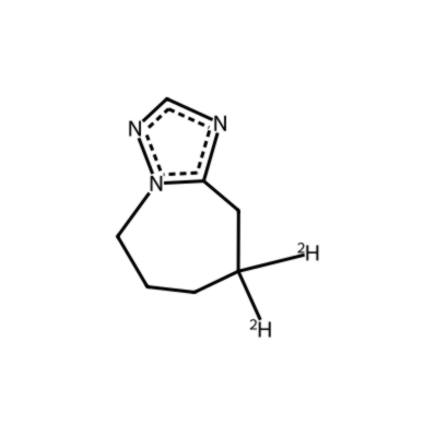 [2H]C1([2H])CCCn2ncnc2C1